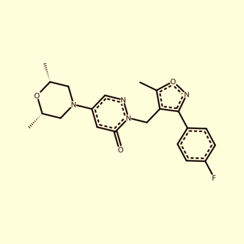 Cc1onc(-c2ccc(F)cc2)c1Cn1ncc(N2C[C@@H](C)O[C@@H](C)C2)cc1=O